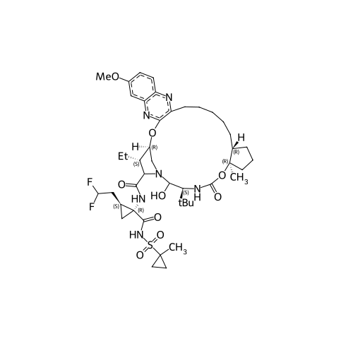 CC[C@H]1C(C(=O)N[C@]2(C(=O)NS(=O)(=O)C3(C)CC3)C[C@H]2CC(F)F)N2C[C@@H]1Oc1nc3cc(OC)ccc3nc1CCCCC[C@@H]1CCC[C@@]1(C)OC(=O)N[C@@H](C(C)(C)C)C2O